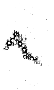 COc1ccc(CC(NCc2ccc(-c3ccc(N4CC(CCC(N)=O)OC4=O)cc3F)cc2)c2cnn[nH]2)cc1.Cl